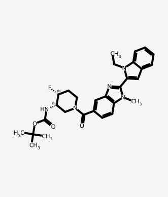 CCn1c(-c2nc3cc(C(=O)N4CC[C@@H](F)[C@@H](NC(=O)OC(C)(C)C)C4)ccc3n2C)cc2ccccc21